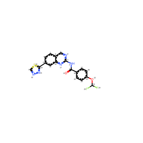 O=C(Nc1ncc2ccc(-c3nncs3)cc2n1)c1ccc(OC(F)F)cc1